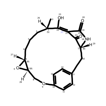 C[C@H]1CCC[C@H]2O[C@@H]2COc2ccc(cc2)C[C@H]2NC(=O)/C(=C/1O)C2=O